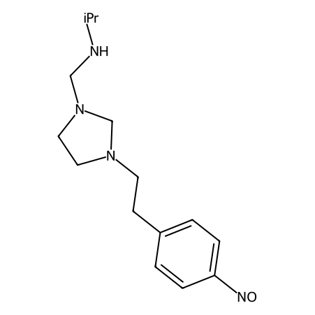 CC(C)NCN1CCN(CCc2ccc(N=O)cc2)C1